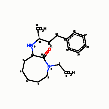 O=C(O)CN1CCCCCC(N[C@@H](CCc2ccccc2)C(=O)O)C1=O